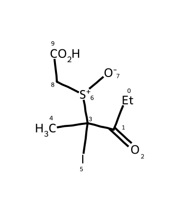 CCC(=O)C(C)(I)[S+]([O-])CC(=O)O